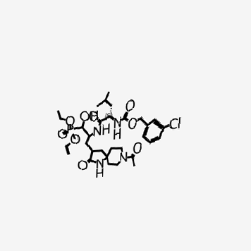 CCOP(=O)(OCC)C(O)C(CC1CC2(CCN(C(C)=O)CC2)NC1=O)NC(=O)[C@H](CC(C)C)NC(=O)OCc1cccc(Cl)c1